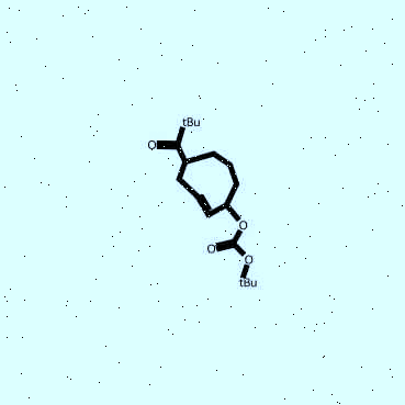 CC(C)(C)OC(=O)OC1/C=C/CC(C(=O)C(C)(C)C)CCC1